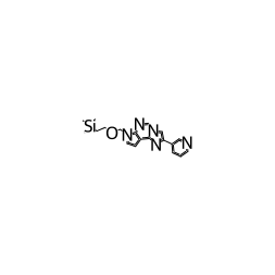 C[Si](C)(C)CCOCn1ccc2c1ncn1cc(-c3cccnc3)nc21